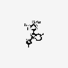 CNC(=O)[C@@H](NC(=O)c1nc(-c2cc(C)cs2)n2c1CN(C)CCC2)C(C)(C)C